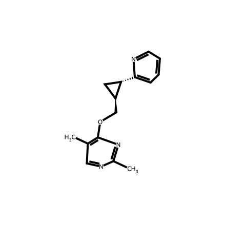 Cc1ncc(C)c(OC[C@H]2C[C@@H]2c2ccccn2)n1